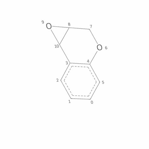 c1ccc2c(c1)OCC1OC21